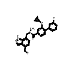 CN(Cc1ccc(CF)c2cn[nH]c12)C(=O)c1ccc(-c2cccc(F)c2)c(OC2CC2)c1